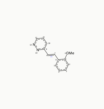 COc1ccccc1/C=C/c1cccnn1